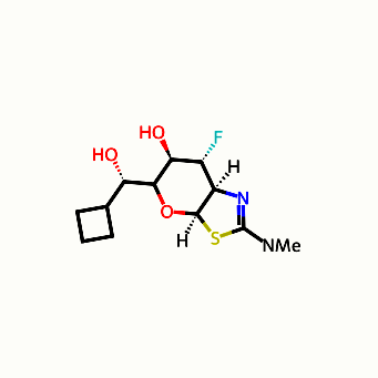 CNC1=N[C@@H]2[C@@H](F)[C@H](O)C([C@@H](O)C3CCC3)O[C@@H]2S1